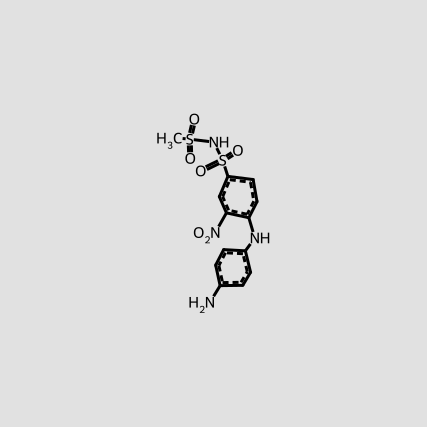 CS(=O)(=O)NS(=O)(=O)c1ccc(Nc2ccc(N)cc2)c([N+](=O)[O-])c1